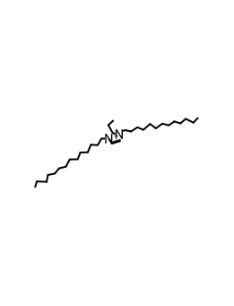 CCCCCCCCCCCCCC[n+]1ccn(CCCCCCCCCCCCC)c1CC